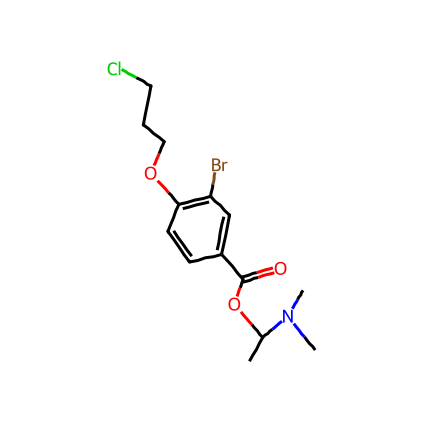 CC(OC(=O)c1ccc(OCCCCl)c(Br)c1)N(C)C